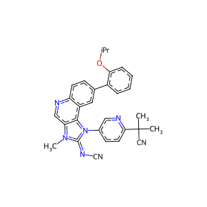 CC(C)Oc1ccccc1-c1ccc2ncc3c(c2c1)n(-c1ccc(C(C)(C)C#N)nc1)/c(=N\C#N)n3C